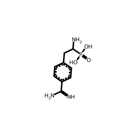 N=C(N)c1ccc(CC(N)P(=O)(O)O)cc1